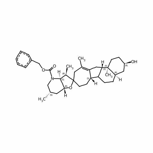 CC1=C2C[C@H]3C(CC[C@@H]4C[C@H](O)CC[C@@]43C)[C@@H]2CCC2(C1)O[C@@H]1C[C@H](C)CN(C(=O)OCc3ccccc3)[C@H]1[C@H]2C